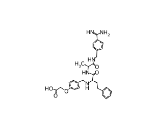 C[C@H](NC(=O)[C@@H](CCc1ccccc1)NCc1ccc(OCC(=O)O)cc1)C(=O)NCc1ccc(C(=N)N)cc1